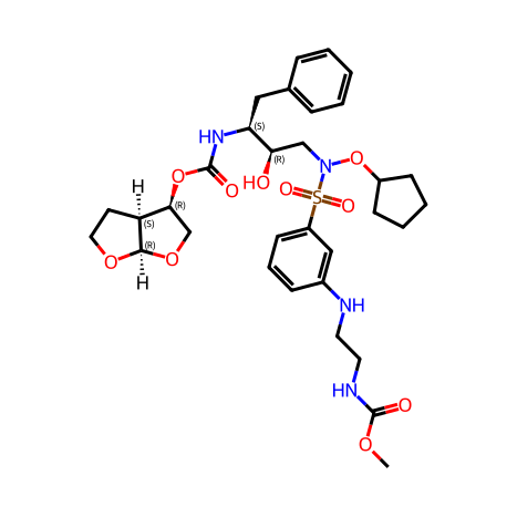 COC(=O)NCCNc1cccc(S(=O)(=O)N(C[C@@H](O)[C@H](Cc2ccccc2)NC(=O)O[C@H]2CO[C@H]3OCC[C@H]32)OC2CCCC2)c1